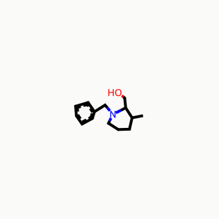 CC1CCCN(Cc2ccccc2)C1CO